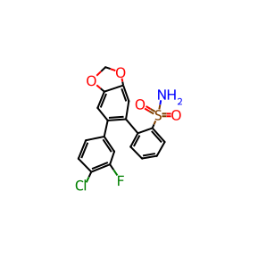 NS(=O)(=O)c1ccccc1-c1cc2c(cc1-c1ccc(Cl)c(F)c1)OCO2